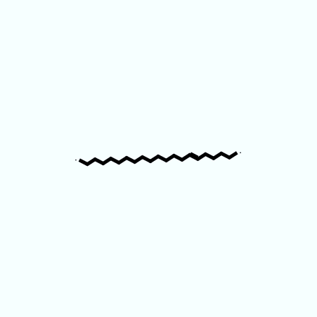 [CH2]CCCCC=CCCCCCCCCCCCCC[CH2]